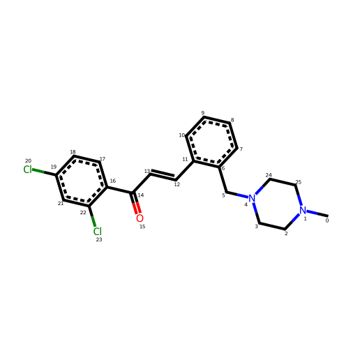 CN1CCN(Cc2ccccc2/C=C/C(=O)c2ccc(Cl)cc2Cl)CC1